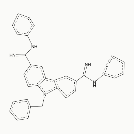 N=C(Nc1ccccc1)c1ccc2c(c1)c1cc(C(=N)Nc3ccccc3)ccc1n2Cc1ccccc1